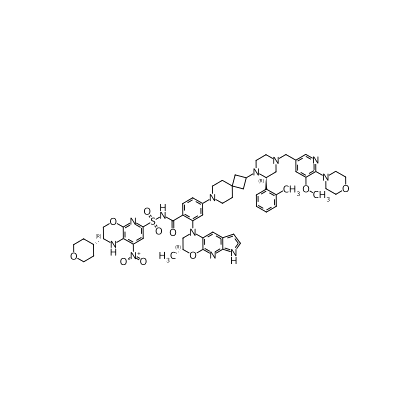 COc1cc(CN2CCN(C3CC4(CCN(c5ccc(C(=O)NS(=O)(=O)c6cc([N+](=O)[O-])c7c(n6)OC[C@@H](C6CCOCC6)N7)c(N6C[C@@H](C)Oc7nc8[nH]ccc8cc76)c5)CC4)C3)[C@H](c3ccccc3C)C2)cnc1N1CCOCC1